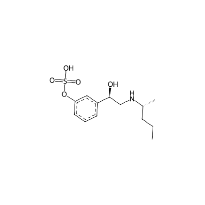 CCC[C@@H](C)NC[C@H](O)c1cccc(OS(=O)(=O)O)c1